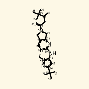 CC(CC(=O)N1Cc2cnc(Nc3cc(C(C)(C)C)nn3C)nc2C1)C(C)(C)C